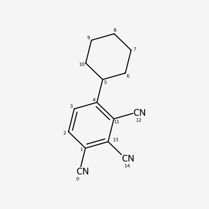 N#Cc1ccc(C2CCCCC2)c(C#N)c1C#N